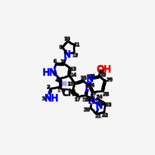 N#C/C(C=N)=C1/NC=C(N2CCCC2)C=C1c1ccc(N2CC3CC(C2)N3Cc2ccc(O)nc2)nc1